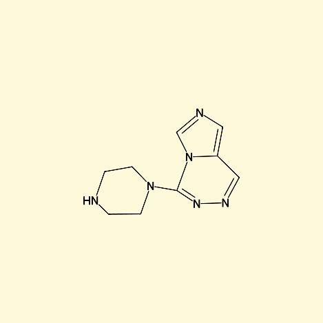 c1ncn2c(N3CCNCC3)nncc12